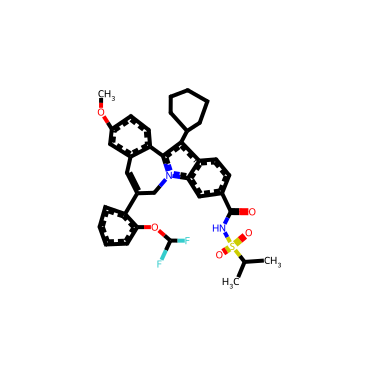 COc1ccc2c(c1)C=C(c1ccccc1OC(F)F)Cn1c-2c(C2CCCCC2)c2ccc(C(=O)NS(=O)(=O)C(C)C)cc21